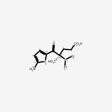 CCN(CC)[C@@](CCC(=O)O)(C(=O)O)C(=O)c1ccc(N)s1